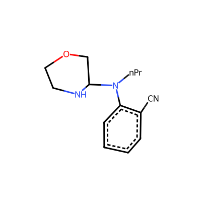 CCCN(c1ccccc1C#N)C1COCCN1